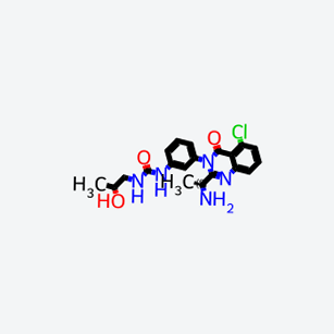 CC(O)CNC(=O)Nc1cccc(-n2c([C@H](C)N)nc3cccc(Cl)c3c2=O)c1